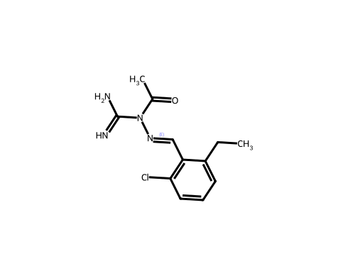 CCc1cccc(Cl)c1/C=N/N(C(=N)N)C(C)=O